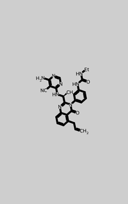 C=CCc1cccc2nc([C@H](C)Nc3ncnc(N)c3C#N)n(-c3cccc(NC(=O)NCC)c3)c(=O)c12